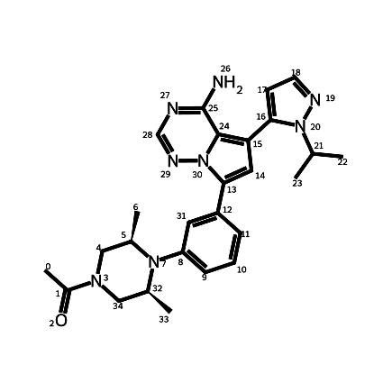 CC(=O)N1C[C@@H](C)N(c2cccc(-c3cc(-c4ccnn4C(C)C)c4c(N)ncnn34)c2)[C@@H](C)C1